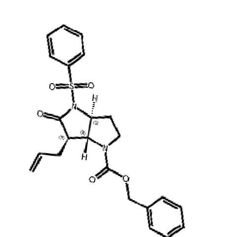 C=CC[C@H]1C(=O)N(S(=O)(=O)c2ccccc2)[C@H]2CCN(C(=O)OCc3ccccc3)[C@H]12